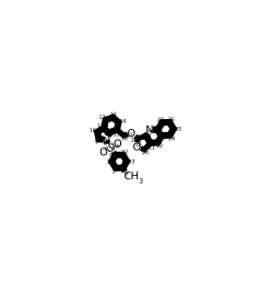 Cc1ccc(S(=O)(=O)n2ccc3cccc(COC4OCc5cc6ccccc6nc54)c32)cc1